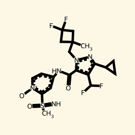 CC1(Cn2nc(C3CC3)c(C(F)F)c2C(=O)Nc2cc[n+]([O-])c(S(C)(=N)=O)c2)CC(F)(F)C1